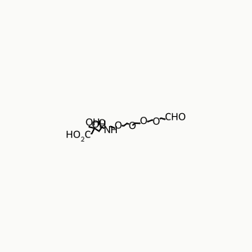 O=CCCOCCOCCOCCOCCNC(=O)CC(O)(CO)CC(=O)O